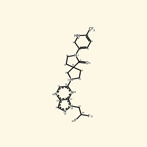 O=C1N(C2=CC=C(C(F)(F)F)NC2)CCC12CCN(c1cnc3cnn(CC(F)F)c3n1)C2